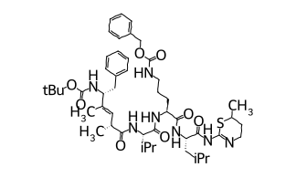 C/C(=C\[C@@H](C)C(=O)N[C@H](C(=O)N[C@@H](CCCNC(=O)OCc1ccccc1)C(=O)N[C@@H](CC(C)C)C(=O)NC1=NCCC(C)S1)C(C)C)[C@@H](Cc1ccccc1)NC(=O)OC(C)(C)C